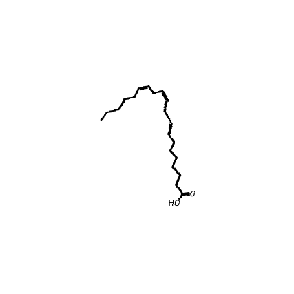 CCCCC/C=C\C/C=C\C/C=C/CCCCCCC(=O)O